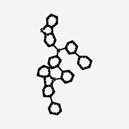 c1ccc(-c2cccc(N(c3cccc(-c4ccccc4-n4c5ccccc5c5ccc(-c6ccccc6)cc54)c3)c3ccc4sc5ccccc5c4c3)c2)cc1